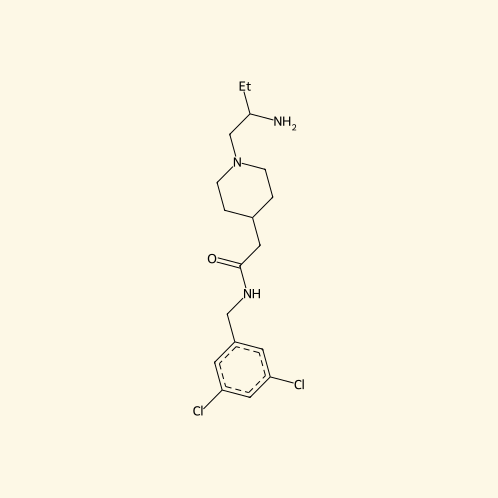 CCC(N)CN1CCC(CC(=O)NCc2cc(Cl)cc(Cl)c2)CC1